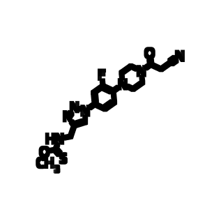 COC(=S)NCc1cn(-c2ccc(N3CCN(C(=O)CC#N)CC3)c(F)c2)nn1